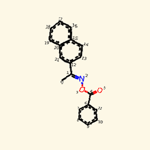 C/C(=N\OC(=O)c1ccccc1)c1ccc2ccccc2c1